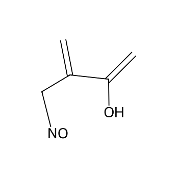 C=C(O)C(=C)CN=O